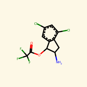 NC1Cc2c(Cl)cc(Cl)cc2C1OC(=O)C(F)(F)F